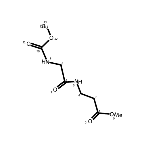 COC(=O)CCNC(=O)CNC(=O)OC(C)(C)C